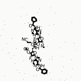 C=NC[C@H]1O[C@@H](n2cnc3c(NC(=O)c4ccccc4)ncnc32)[C@H](F)[C@@H]1OP(=O)(NC[C@H]1O[C@@H](n2cnc3c(NC(=O)c4ccccc4)ncnc32)[C@H](F)[C@@H]1OP=O)OCCC#N